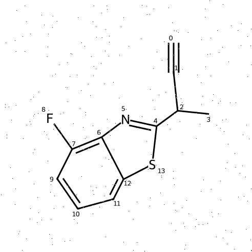 C#CC(C)c1nc2c(F)cccc2s1